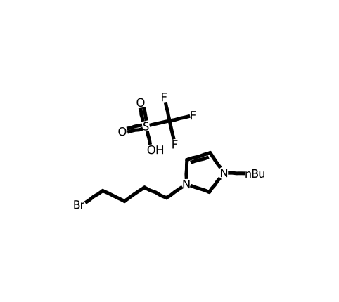 CCCCN1C=CN(CCCCBr)C1.O=S(=O)(O)C(F)(F)F